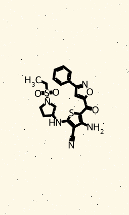 CCS(=O)(=O)N1CCC(Nc2sc(C(=O)c3cc(-c4ccccc4)no3)c(N)c2C#N)C1